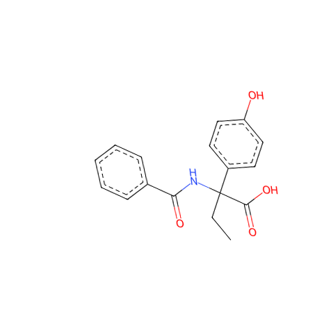 CCC(NC(=O)c1ccccc1)(C(=O)O)c1ccc(O)cc1